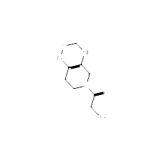 CCC(C)CC(=O)N1CCC2=C(C1)NCNN2